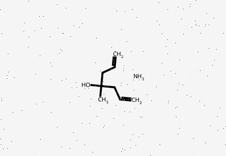 C=CCC(C)(O)CC=C.N